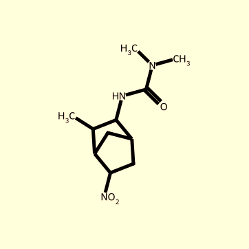 CC1C2CC(CC2[N+](=O)[O-])C1NC(=O)N(C)C